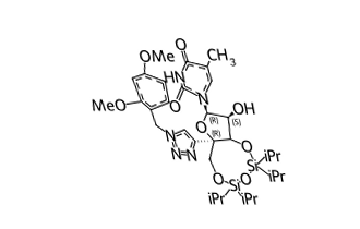 COc1ccc(Cn2cc([C@@]34CO[Si](C(C)C)(C(C)C)O[Si](C(C)C)(C(C)C)OC3[C@H](O)[C@H](n3cc(C)c(=O)[nH]c3=O)O4)nn2)c(OC)c1